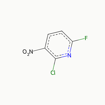 O=[N+]([O-])c1ccc(F)nc1Cl